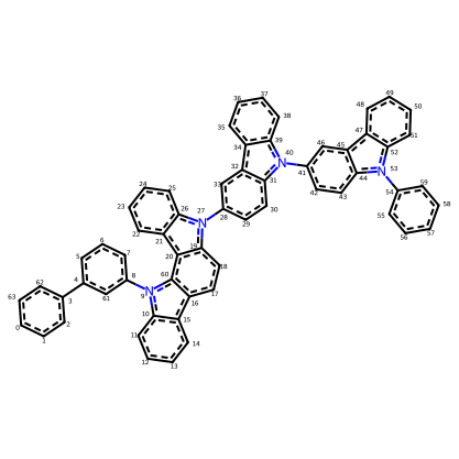 c1ccc(-c2cccc(-n3c4ccccc4c4ccc5c(c6ccccc6n5-c5ccc6c(c5)c5ccccc5n6-c5ccc6c(c5)c5ccccc5n6-c5ccccc5)c43)c2)cc1